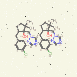 CC1(C)CCC(Cc2ccc(Cl)cc2)C1(O)Cn1cncn1.CC1(C)CCC(Cc2ccc(Cl)cc2)C1(O)Cn1cncn1